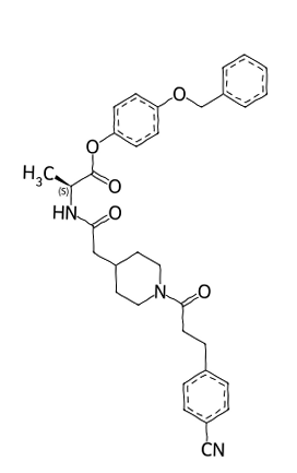 C[C@H](NC(=O)CC1CCN(C(=O)CCc2ccc(C#N)cc2)CC1)C(=O)Oc1ccc(OCc2ccccc2)cc1